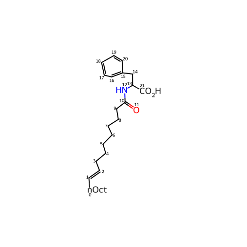 CCCCCCCCC=CCCCCCCCC(=O)NC(Cc1ccccc1)C(=O)O